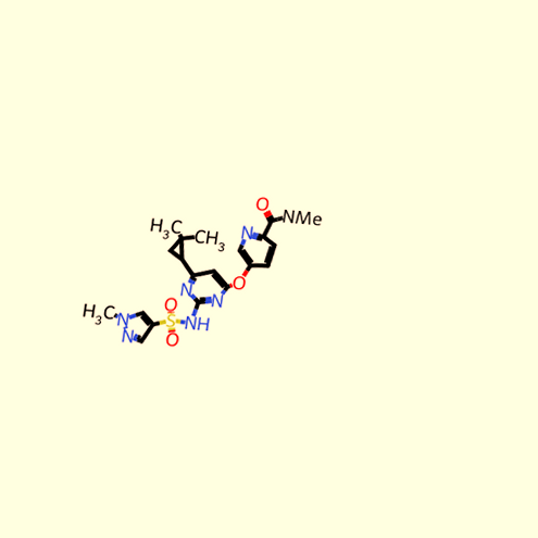 CNC(=O)c1ccc(Oc2cc(C3CC3(C)C)nc(NS(=O)(=O)c3cnn(C)c3)n2)cn1